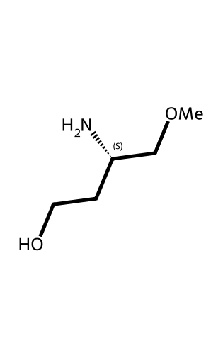 COC[C@@H](N)CCO